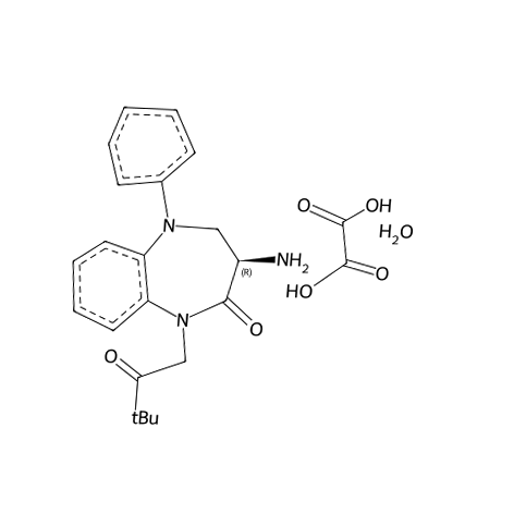 CC(C)(C)C(=O)CN1C(=O)[C@H](N)CN(c2ccccc2)c2ccccc21.O.O=C(O)C(=O)O